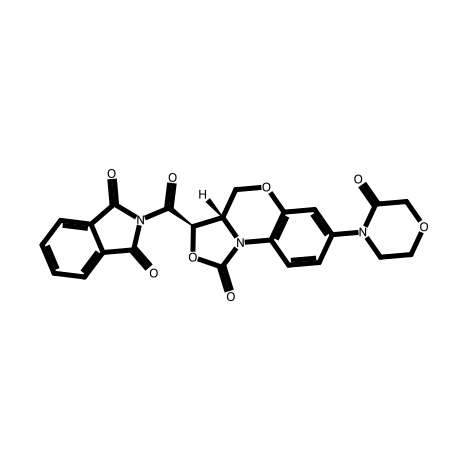 O=C1c2ccccc2C(=O)N1C(=O)[C@@H]1OC(=O)N2c3ccc(N4CCOCC4=O)cc3OC[C@@H]12